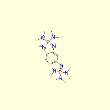 CN(C)P(=Nc1cccc(N=P(N(C)C)(N(C)C)N(C)C)c1)(N(C)C)N(C)C